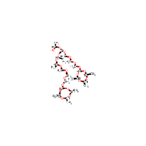 C[SiH](O)O[SiH](O[SiH2]O[SiH2]O[SiH2]O[SiH]1O[SiH](C)O[SiH](C)O[SiH](C)O1)O[SiH](C)O[SiH](C)O[SiH2]O[SiH2]O[SiH2]O[SiH]1O[SiH](C)O[SiH](C)O[SiH](C)O1